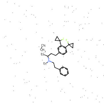 CC#N.CCC(CCc1ccc(C2(F)CC2)c(C2(F)CC2)c1)N(CC)CCc1ccccc1